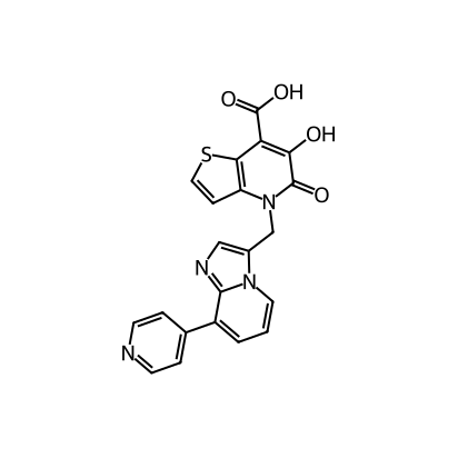 O=C(O)c1c(O)c(=O)n(Cc2cnc3c(-c4ccncc4)cccn23)c2ccsc12